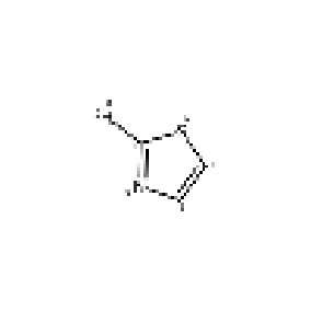 [2H]c1nccs1